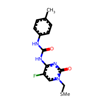 CSCn1cc(F)c(NC(=O)Nc2ccc(C)cc2)nc1=O